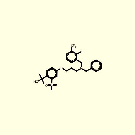 CC(C)(O)c1ccc(OCCCN(Cc2ccccc2)Cc2cccc(C(F)(F)F)c2F)cc1S(C)(=O)=O